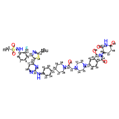 CCCS(=O)(=O)Nc1cccc(-c2nc(C(C)(C)C)sc2-c2ccnc(Nc3ccc(C4CCN(C(=O)CN5CCN(c6ccc7c(c6)C(=O)N([C@@H]6CCC(=O)NC6=O)C7=O)CC5)CC4)cc3)n2)c1F